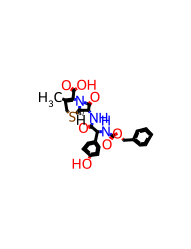 CC1=C(C(=O)O)N2C(=O)C(NC(=O)C(NC(=O)OCc3ccccc3)c3ccc(O)cc3)[C@H]2SC1